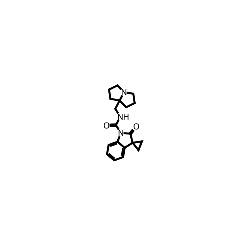 O=C(NCC12CCCN1CCC2)N1C(=O)C2(CC2)c2ccccc21